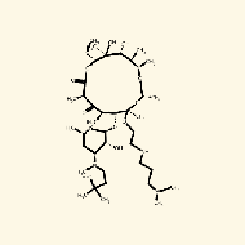 CC[C@H]1OC(=O)[C@H](C)C(=O)[C@H](C)[C@@H](O[C@@H]2O[C@H](C)C[C@H](N(C)CCC(C)(C)C)[C@H]2O)[C@](C)(OCCNCCCN(C)C)C[C@@H](C)CN(C)[C@H](C)[C@@H](O)[C@]1(C)O